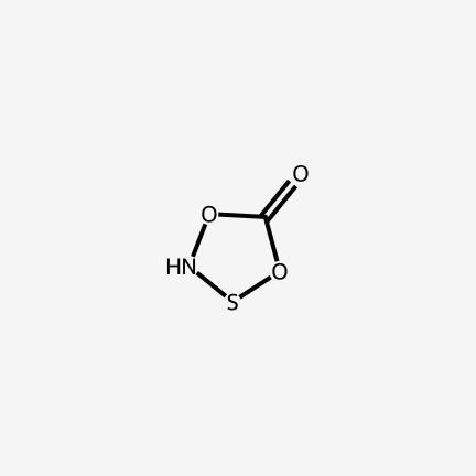 O=C1ONSO1